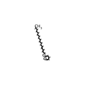 CCCCCCCCCCCCC=CC=CCOC1CCCCO1